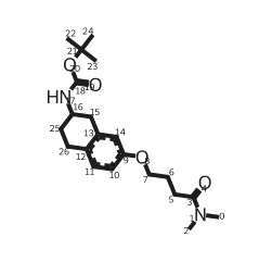 CN(C)C(=O)CCCOc1ccc2c(c1)CC(NC(=O)OC(C)(C)C)CC2